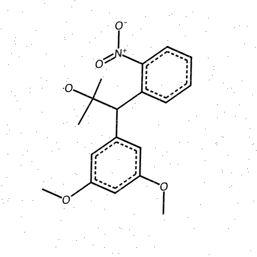 COc1cc(OC)cc(C(c2ccccc2[N+](=O)[O-])C(C)(C)[O])c1